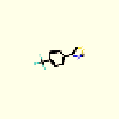 FC(F)(F)c1ccc(-c2cscn2)cc1